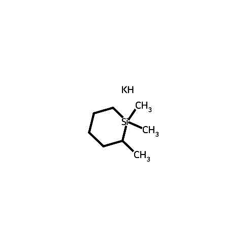 CC1CCCC[Si]1(C)C.[KH]